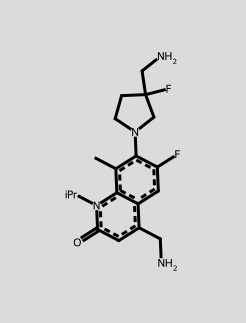 Cc1c(N2CCC(F)(CN)C2)c(F)cc2c(CN)cc(=O)n(C(C)C)c12